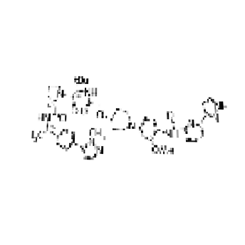 COc1cc(N2CCC(OCC(=O)N[C@H](C(=O)N3CCC[C@H]3C(=O)N[C@@H](C)c3ccc(-c4ccnn4C)cc3)C(C)(C)C)CC2)ccc1NC(=O)c1cccc(-c2cc[nH]n2)n1